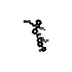 COCCCn1c(C2CCCN(C(=O)C[C@@H](Cc3ccc(N4CCCC4=O)cc3)NC(=O)O)C2)c(C)c2ccccc21